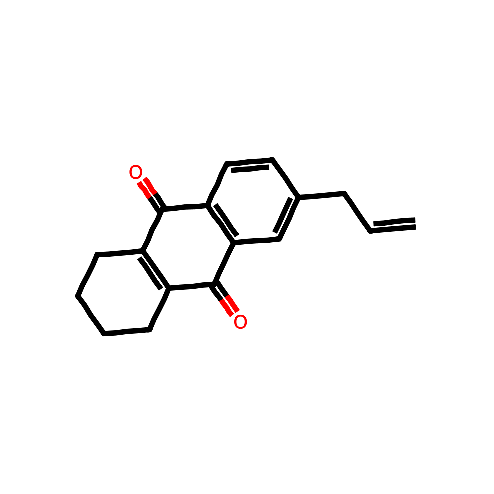 C=CCc1ccc2c(c1)C(=O)C1=C(CCCC1)C2=O